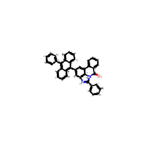 O=c1c2ccccc2c2cc(-c3c4ccccc4c(-c4ccccc4)c4ccccc34)cc3nc(-c4ccccc4)n1c32